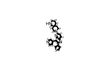 c1cc(-c2c(-c3ccsc3)nc3ccc(N4CCC5(CCCNC5)CC4)nn23)ccn1